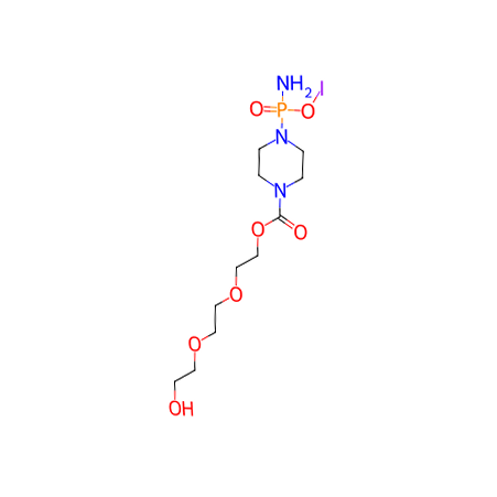 NP(=O)(OI)N1CCN(C(=O)OCCOCCOCCO)CC1